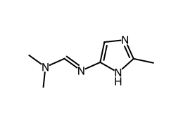 Cc1ncc(/N=C/N(C)C)[nH]1